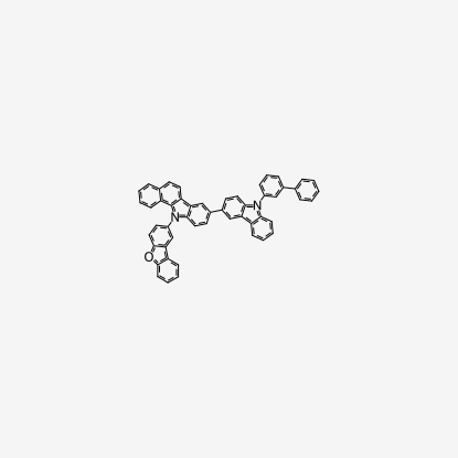 c1ccc(-c2cccc(-n3c4ccccc4c4cc(-c5ccc6c(c5)c5ccc7ccccc7c5n6-c5ccc6oc7ccccc7c6c5)ccc43)c2)cc1